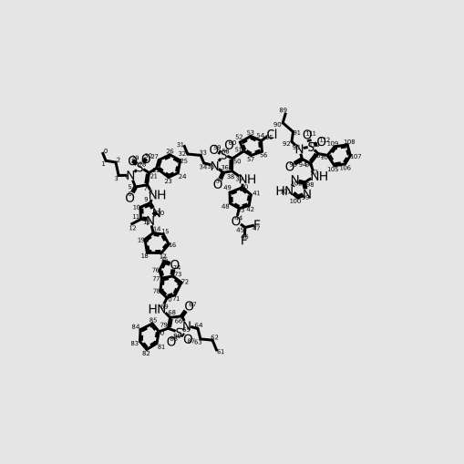 CCCCN1C(=O)C(Nc2cc(C)n(-c3ccccc3)n2)=C(c2ccccc2)S1(=O)=O.CCCCN1C(=O)C(Nc2ccc(OC(F)F)cc2)=C(c2ccc(Cl)cc2)S1(=O)=O.CCCCN1C(=O)C(Nc2ccc3occc3c2)=C(c2ccccc2)S1(=O)=O.CCCCN1C(=O)C(Nc2nc[nH]n2)=C(c2ccccc2)S1(=O)=O